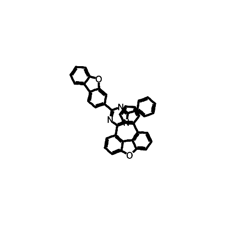 c1ccc(-c2nc(-c3ccc4c(c3)oc3ccccc34)nc(-c3cccc4oc5cccc(-c6ccccc6)c5c34)n2)cc1